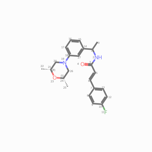 CC(NC(=O)C=Cc1ccc(F)cc1)c1cccc(N2C[C@@H](C)O[C@@H](C)C2)c1